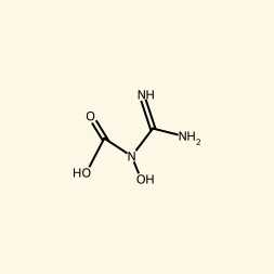 N=C(N)N(O)C(=O)O